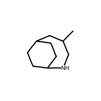 CC1CNC2CCC(CC2)C1